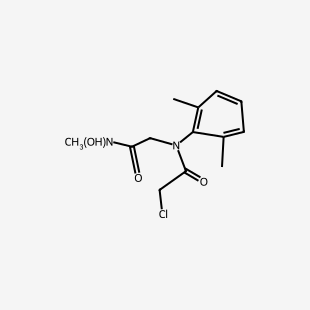 Cc1cccc(C)c1N(CC(=O)N(C)O)C(=O)CCl